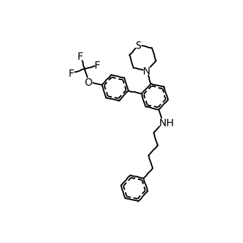 FC(F)(F)Oc1ccc(-c2cc(NCCCCc3ccccc3)ccc2N2CCSCC2)cc1